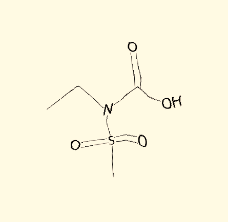 CCN(C(=O)O)S(C)(=O)=O